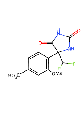 COc1cc(C(=O)O)ccc1C1(C(F)F)NC(=O)NC1=O